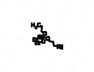 C=CCO[Si](OCC)(OCC)OCCCN1CC1